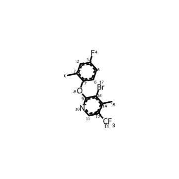 Cc1cc(F)ccc1Oc1ncc(C(F)(F)F)c(C)c1Br